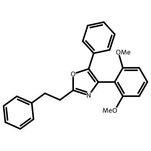 COc1cccc(OC)c1-c1nc(CCc2ccccc2)oc1-c1ccccc1